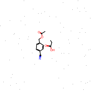 CC(=O)OCc1ccc(C#N)cc1.CCC(=O)O